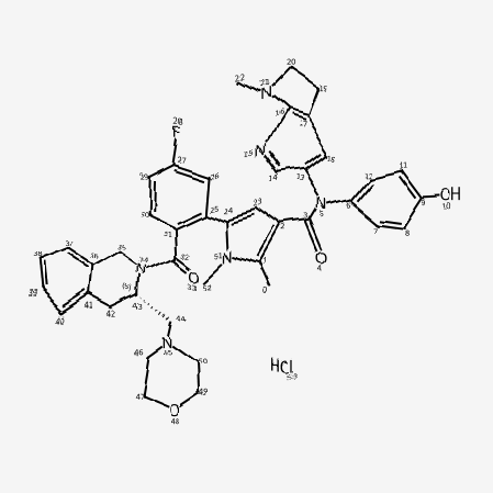 Cc1c(C(=O)N(c2ccc(O)cc2)c2cnc3c(c2)CCN3C)cc(-c2cc(F)ccc2C(=O)N2Cc3ccccc3C[C@H]2CN2CCOCC2)n1C.Cl